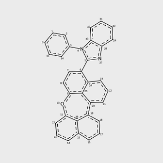 c1ccc(-n2c(-c3ccc4oc5cccc6cccc(c7cccc3c47)c65)nc3ccccc32)cc1